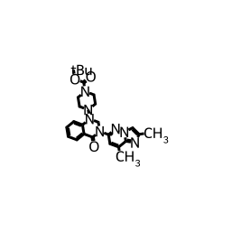 Cc1cn2nc(N3CN(N4CCN(C(=O)OC(C)(C)C)CC4)c4ccccc4C3=O)cc(C)c2n1